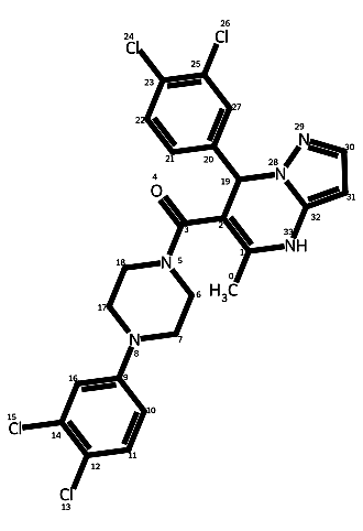 CC1=C(C(=O)N2CCN(c3ccc(Cl)c(Cl)c3)CC2)C(c2ccc(Cl)c(Cl)c2)n2nccc2N1